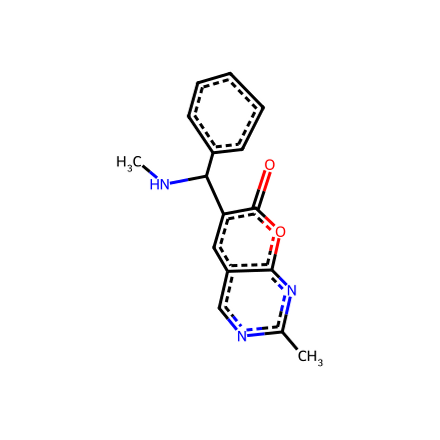 CNC(c1ccccc1)c1cc2cnc(C)nc2oc1=O